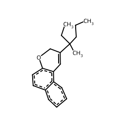 CCCC(C)(CC)C1=Cc2c(ccc3ccccc23)OC1